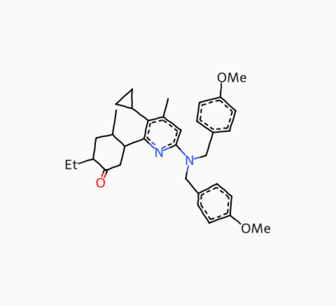 CCC1CC(C)C(c2nc(N(Cc3ccc(OC)cc3)Cc3ccc(OC)cc3)cc(C)c2C2CC2)CC1=O